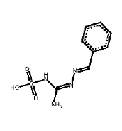 NC(=NN=Cc1ccccc1)NS(=O)(=O)O